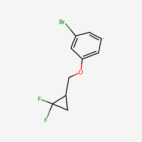 FC1(F)CC1COc1c[c]cc(Br)c1